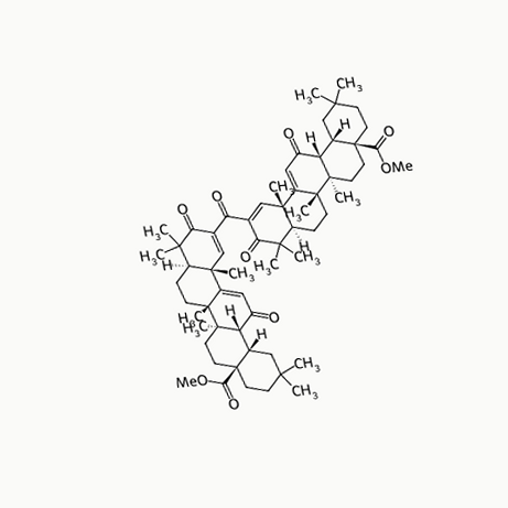 COC(=O)[C@]12CCC(C)(C)C[C@H]1[C@H]1C(=O)C=C3[C@@]4(C)C=C(C(=O)C5=C[C@]6(C)C7=CC(=O)[C@@H]8[C@@H]9CC(C)(C)CC[C@]9(C(=O)OC)CC[C@@]8(C)[C@]7(C)CC[C@H]6C(C)(C)C5=O)C(=O)C(C)(C)[C@@H]4CC[C@@]3(C)[C@]1(C)CC2